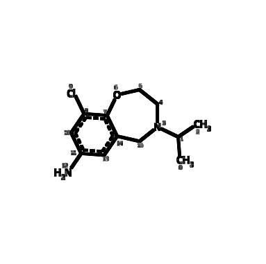 CC(C)N1CCOc2c(Cl)cc(N)cc2C1